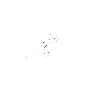 CCCCON(C1(OCC)C=C=C(C2=Nn3c(C4CCCC4)nc(C)c3C(C=O)N2)C=C1)S(=O)(=O)c1ccccc1